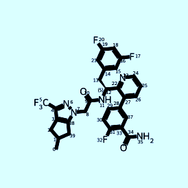 CC1Cc2c(C(F)(F)F)nn(CC(=O)N[C@@H](Cc3cc(F)cc(F)c3)c3ncccc3-c3ccc(F)c(C(N)=O)c3)c2C1